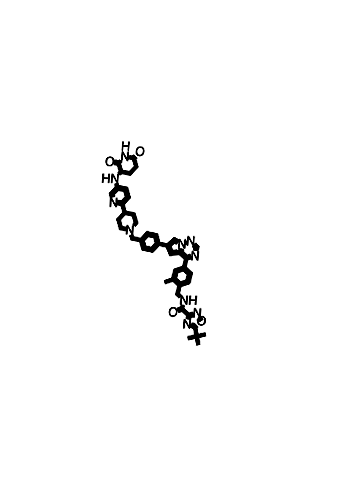 Cc1cc(-c2ncnn3cc(-c4ccc(CN5CCC(c6ccc(NC7CCC(=O)NC7=O)cn6)CC5)cc4)cc23)ccc1CNC(=O)c1noc(C(C)(C)C)n1